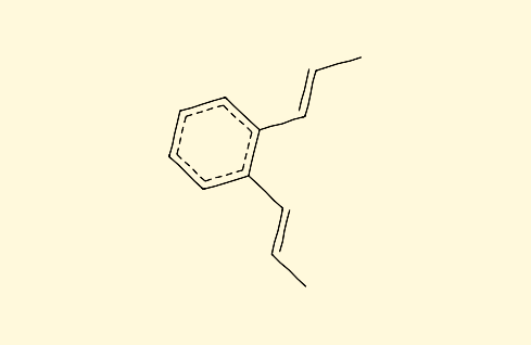 CC=Cc1ccccc1C=CC